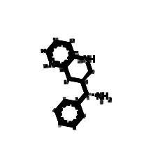 N[C@H](c1ccccc1)[C@@H]1CNc2cccnc2C1